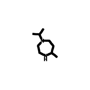 CC1CCN(C(C)C)CCN1